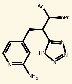 CCC[C@H](C(C)=O)[C@H](Cc1ccnc(N)c1)c1nnn[nH]1